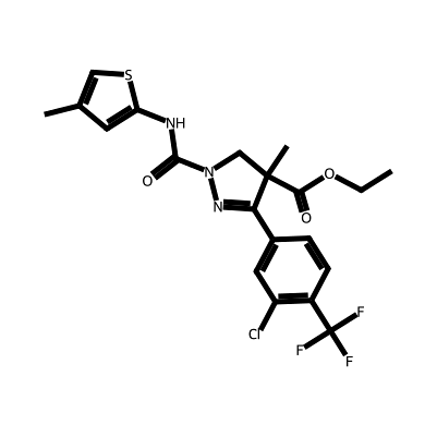 CCOC(=O)C1(C)CN(C(=O)Nc2cc(C)cs2)N=C1c1ccc(C(F)(F)F)c(Cl)c1